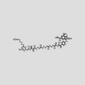 CCCCCCCCCCCCCCCC(=O)OC(COC(C)=O)CSC[C@H](N)C(=O)NCCCNCCCCNCCCNC(=O)CNC(=O)c1ccc(Cn2c(O)nc3c(N)nc(NCCCC)nc32)cc1